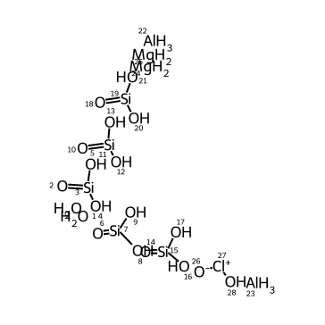 O.O.O=[Si](O)O.O=[Si](O)O.O=[Si](O)O.O=[Si](O)O.O=[Si](O)O.[AlH3].[AlH3].[MgH2].[MgH2].[O-][Cl+]O